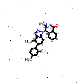 Cc1ccc(-c2ccc3c(cnn3C(CC(C)C)c3ccccc3C(N)=O)c2C)c(C)c1